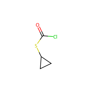 O=C(Cl)SC1CC1